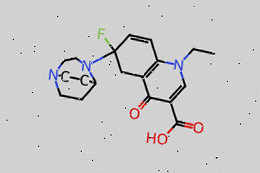 CCn1cc(C(=O)O)c(=O)c2c1C=CC(F)(N1CCN3CCC1CC3)C2